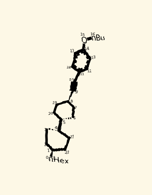 CCCCCC[C@H]1CC[C@H]([C@H]2CC[C@H](C#Cc3ccc(OCCCC)cc3)CC2)CC1